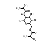 C=C(C)C(=O)NCC1OC(O)C(NC(=O)C(=C)C)C(O)C1O